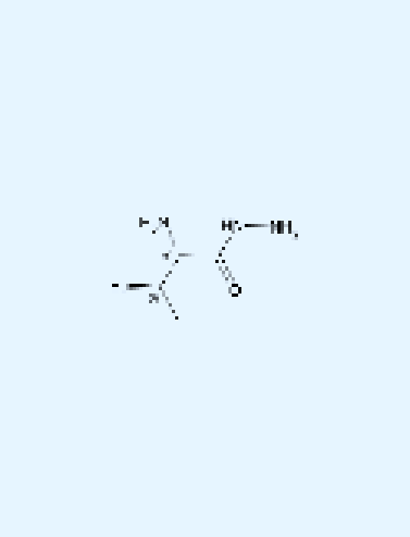 CC[C@H](C)[C@H](N)C(=O)NN